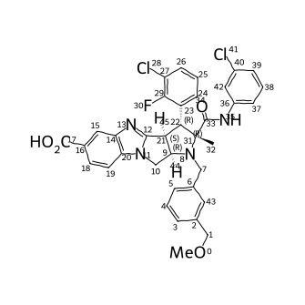 COCc1cccc(CN2[C@H]3Cn4c(nc5cc(C(=O)O)ccc54)[C@H]3[C@H](c3cccc(Cl)c3F)[C@]2(C)C(=O)Nc2cccc(Cl)c2)c1